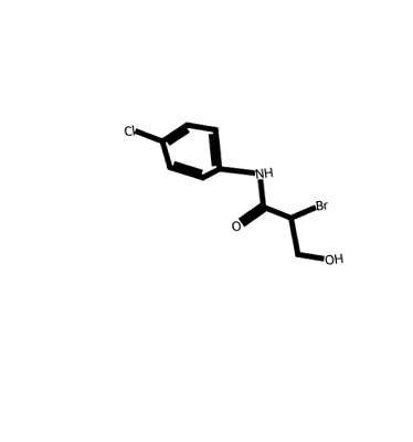 O=C(Nc1ccc(Cl)cc1)C(Br)CO